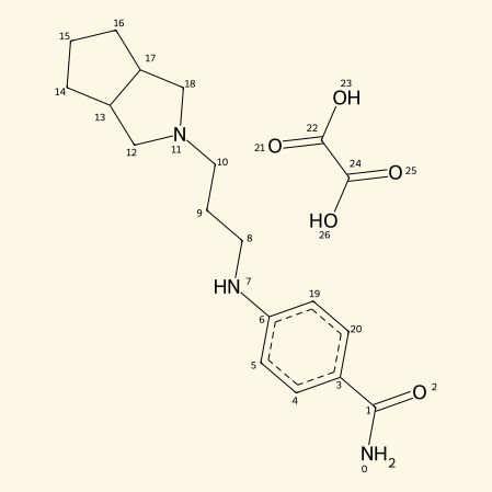 NC(=O)c1ccc(NCCCN2CC3CCCC3C2)cc1.O=C(O)C(=O)O